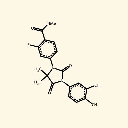 CNC(=O)c1ccc(N2C(=O)N(c3ccc(C#N)c(C(F)(F)F)c3)C(=O)C2(C)C)cc1F